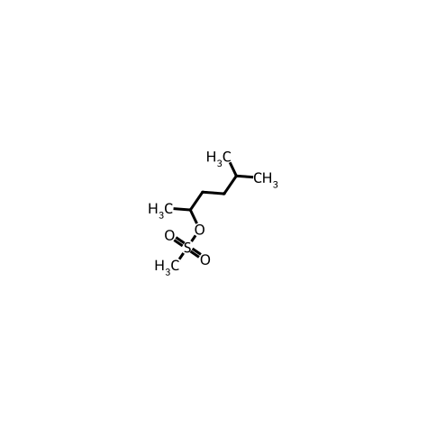 CC(C)CCC(C)OS(C)(=O)=O